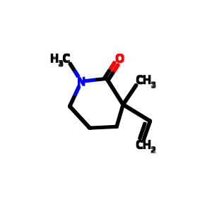 C=CC1(C)CCCN(C)C1=O